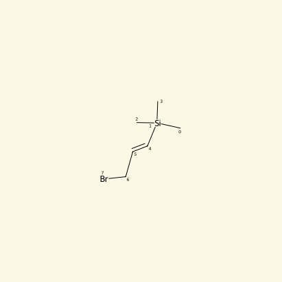 C[Si](C)(C)C=CCBr